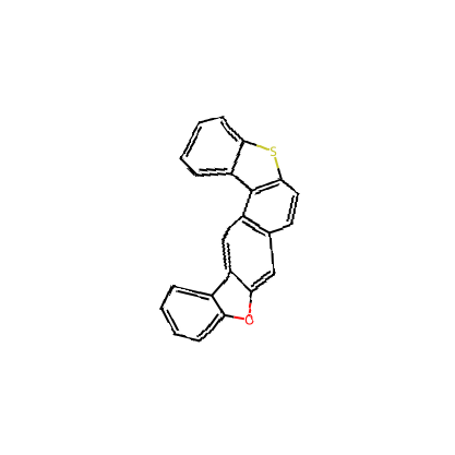 c1ccc2c(c1)oc1cc3ccc4sc5ccccc5c4c3cc12